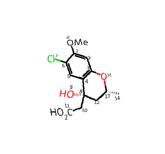 COc1cc2c(cc1Cl)[C@](O)(CC(=O)O)C[C@@H](C)O2